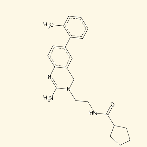 Cc1ccccc1-c1ccc2c(c1)CN(CCNC(=O)C1CCCC1)C(N)=N2